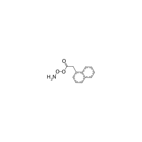 NOOC(=O)Cc1cccc2ccccc12